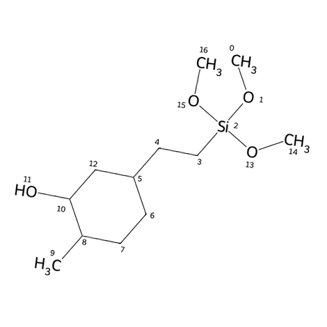 CO[Si](CCC1CCC(C)C(O)C1)(OC)OC